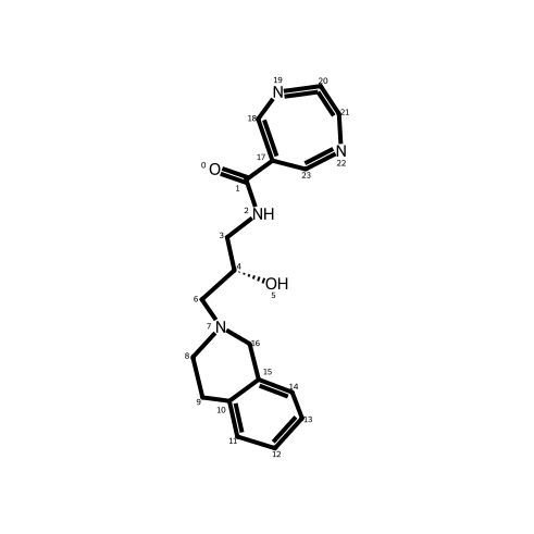 O=C(NC[C@H](O)CN1CCc2ccccc2C1)C1=CN=C=CN=C1